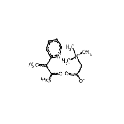 C=C(C(=O)O)c1ccccn1.C[N+](C)(C)CC(=O)[O-]